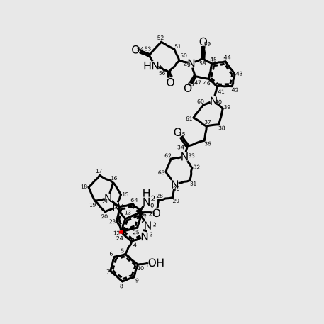 Nc1nnc(-c2ccccc2O)cc1N1CC2CCC(C1)N2c1cccc(OCCN2CCN(C(=O)CC3CCN(c4cccc5c4C(=O)N(C4CCC(=O)NC4=O)C5=O)CC3)CC2)c1